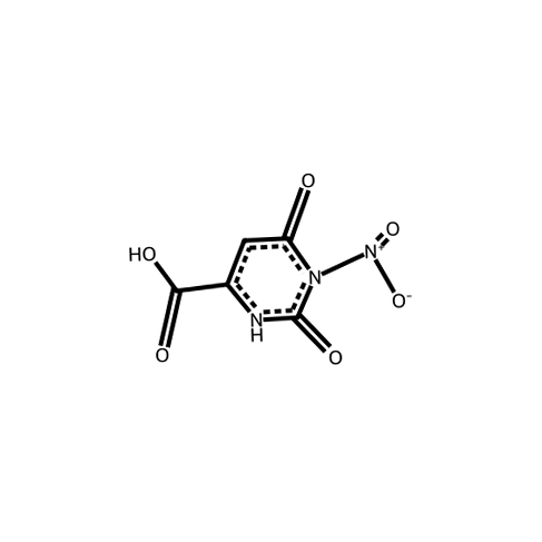 O=C(O)c1cc(=O)n([N+](=O)[O-])c(=O)[nH]1